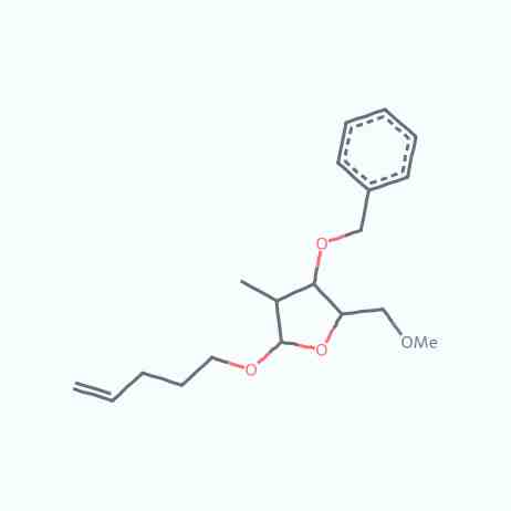 C=CCCCOC1OC(COC)C(OCc2ccccc2)C1C